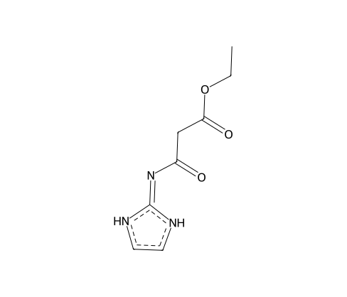 CCOC(=O)CC(=O)N=c1[nH]cc[nH]1